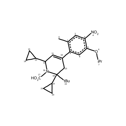 Cc1cc([N+](=O)[O-])c(OC(C)C)cc1C1=CC(C2CC2)N(C(=O)O)C(C2CC2)(C(C)(C)C)C1